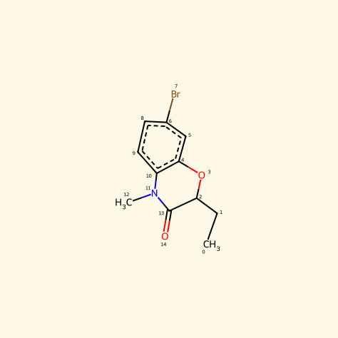 CCC1Oc2cc(Br)ccc2N(C)C1=O